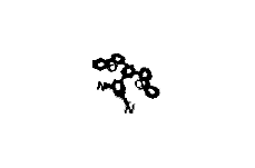 N#Cc1cc(C#N)cc(-c2cc(-c3cccc4c3oc3ccccc34)cc(-c3cccc4c3oc3ccccc34)c2)c1